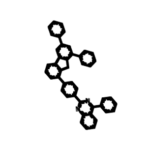 c1ccc(-c2cc(-c3ccccc3)c3c(c2)-c2cccc(-c4ccc(-c5nc(-c6ccccc6)c6ccccc6n5)cc4)c2C3)cc1